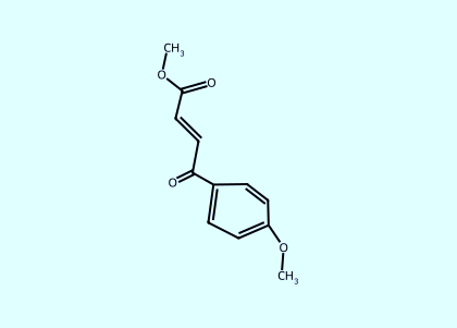 COC(=O)C=CC(=O)c1ccc(OC)cc1